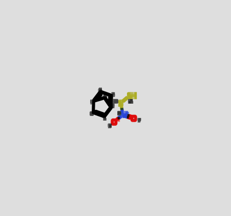 C1=CC2=CC=C1C2.O=[N+]([O-])SS